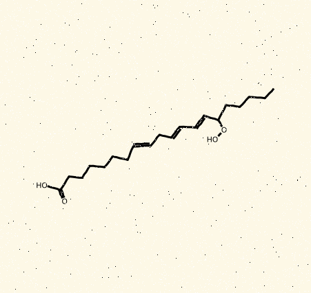 CCCCCC(C=CC=CCC=CCCCCCCC(=O)O)OO